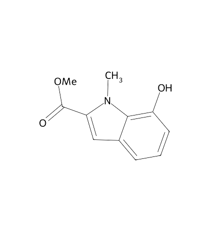 COC(=O)c1cc2cccc(O)c2n1C